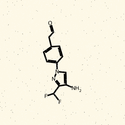 Nc1cn(-c2ccc(CC=O)cc2)nc1C(F)F